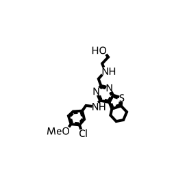 COc1ccc(CNc2nc(CNCCO)nc3sc4c(c23)CCCC4)cc1Cl